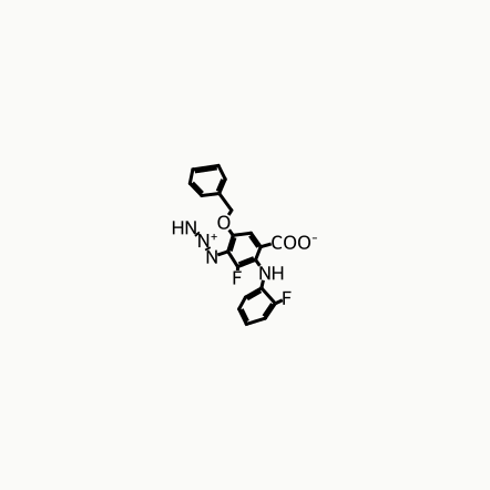 N=[N+]=Nc1c(OCc2ccccc2)cc(C(=O)[O-])c(Nc2ccccc2F)c1F